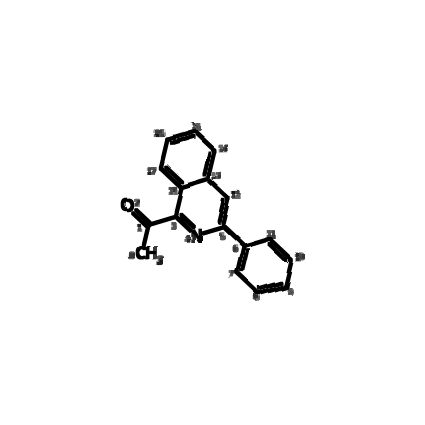 CC(=O)c1nc(-c2ccccc2)cc2ccccc12